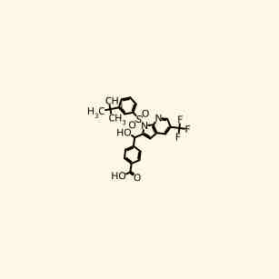 CC(C)(C)c1cccc(S(=O)(=O)n2c(C(O)c3ccc(C(=O)O)cc3)cc3cc(C(F)(F)F)cnc32)c1